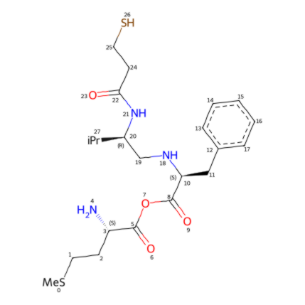 CSCC[C@H](N)C(=O)OC(=O)[C@H](Cc1ccccc1)NC[C@H](NC(=O)CCS)C(C)C